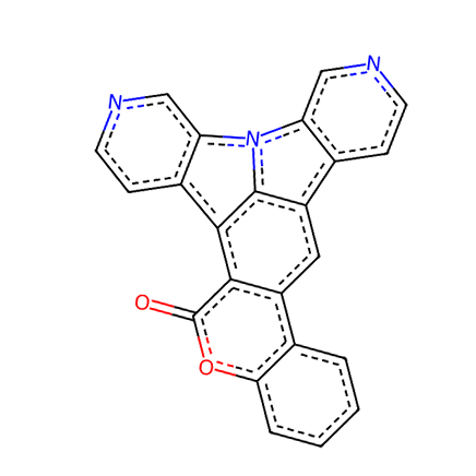 O=c1oc2ccccc2c2cc3c4ccncc4n4c5cnccc5c(c12)c34